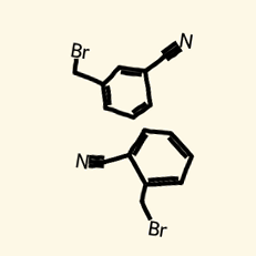 N#Cc1cccc(CBr)c1.N#Cc1ccccc1CBr